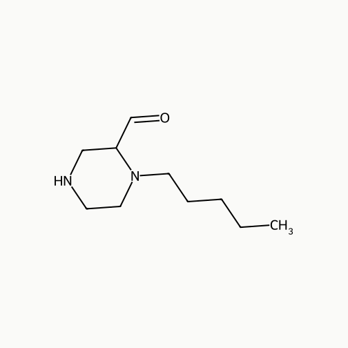 CCCCCN1CCNCC1C=O